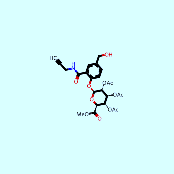 C#CCNC(=O)c1cc(CO)ccc1O[C@@H]1O[C@H](C(=O)OC)[C@@H](OC(C)=O)[C@H](OC(C)=O)[C@H]1OC(C)=O